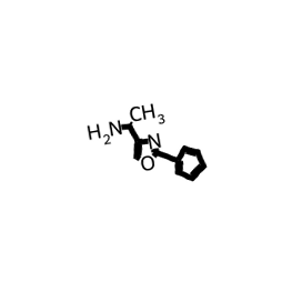 C[C@@H](N)c1coc(-c2ccccc2)n1